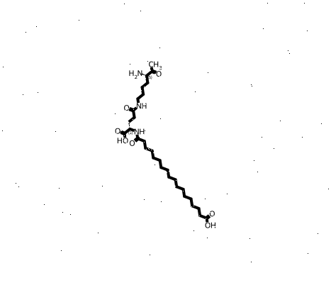 CC(=O)[C@@H](N)CCCCNC(=O)CC[C@H](NC(=O)CCCCCCCCCCCCCCCCC(=O)O)C(=O)O